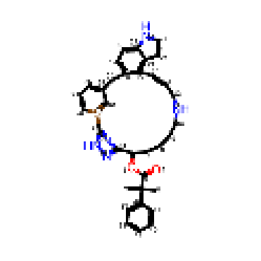 CC(C)(C(=O)OC1CCCCNCC=Cc2c(ccc3[nH]ccc23)CC2=CC=CS(=C2)c2nc1n[nH]2)c1ccccc1